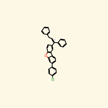 Clc1ccc(-c2ccc3c(c2)oc2ccc(/C(=C\Cc4ccccc4)c4ccccc4)cc23)cc1